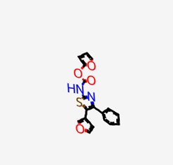 O=C(Nc1nc(-c2ccccc2)c(-c2ccoc2)s1)Oc1ccco1